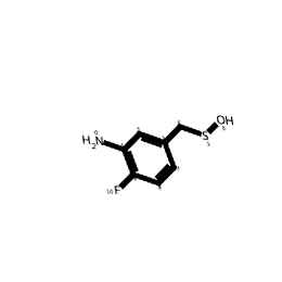 Nc1cc(CSO)ccc1F